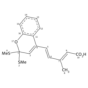 CSC1(SC)C=C(C=CC(C)=CC(=O)O)c2ccccc2O1